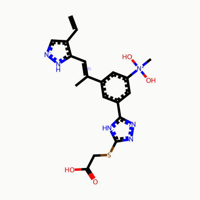 C=Cc1cn[nH]c1/C=C(\C)c1cc(-c2nnc(SCC(=O)O)[nH]2)cc([N+](C)(O)O)c1